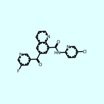 O=C(c1cncc(F)c1)c1cc(C(=O)Nc2ccc(Cl)cn2)c2ncccc2c1